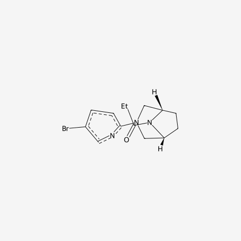 CCC(=O)N1[C@@H]2CC[C@H]1CN(c1ccc(Br)cn1)C2